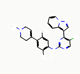 COc1cc(C2=CCN(C)CC2)c([N+](=O)[O-])cc1Nc1ncc(Cl)c(-c2cnn3ccccc23)n1